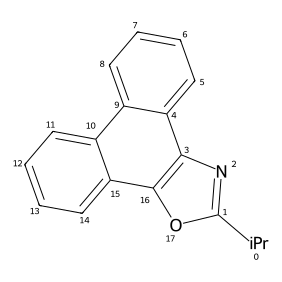 CC(C)c1nc2c3ccccc3c3ccccc3c2o1